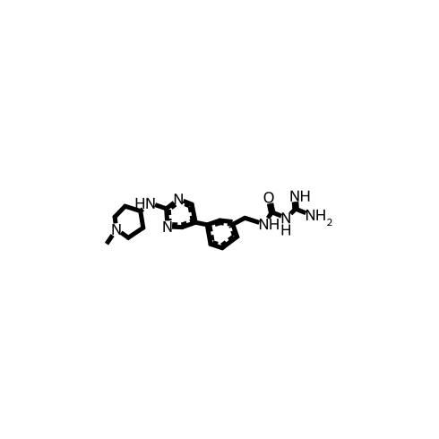 CN1CCC(Nc2ncc(-c3cccc(CNC(=O)NC(=N)N)c3)cn2)CC1